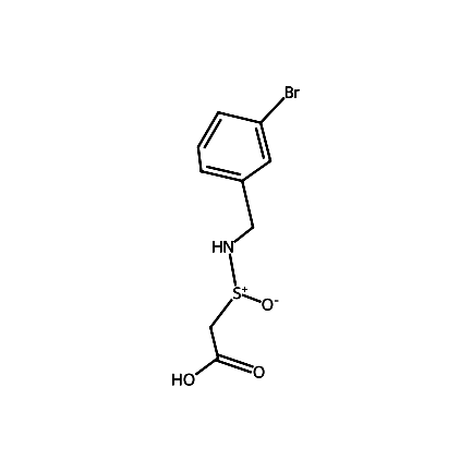 O=C(O)C[S+]([O-])NCc1cccc(Br)c1